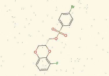 O=S(=O)(OC[C@H]1COc2cccc(F)c2O1)c1ccc(Br)cc1